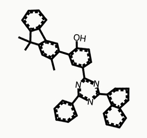 Cc1cc2c(cc1-c1cc(-c3nc(-c4ccccc4)nc(-c4cccc5ccccc45)n3)ccc1O)-c1ccccc1C2(C)C